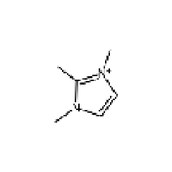 Cn1cc[n+](C)c1I